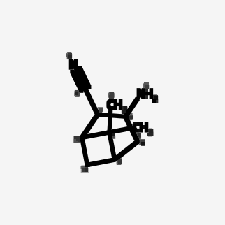 CC1(C)C2CC(N)C(C#N)C1C2